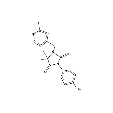 Cc1cc(CN2C(=O)N(c3ccc(C(C)(C)C)cc3)C(=O)C2(C)C)ccn1